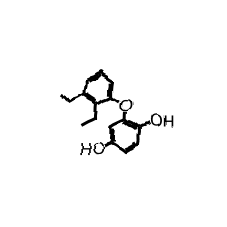 CCc1cccc(Oc2cc(O)ccc2O)c1CC